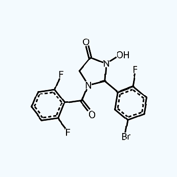 O=C1CN(C(=O)c2c(F)cccc2F)C(c2cc(Br)ccc2F)N1O